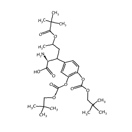 CC(CC(c1ccc(OC(=O)OCC(C)(C)C)c(OC(=O)OCC(C)(C)C)c1)[C@H](N)C(=O)O)OC(=O)C(C)(C)C